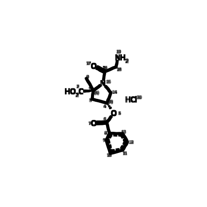 C[C@@]1(C(=O)O)C[C@@H](OC(=O)c2ccccc2)CN1C(=O)CN.Cl